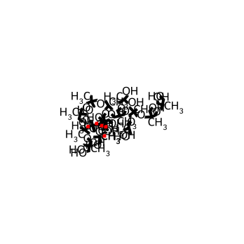 CCC(CO)(COCC(C)(COCC(C)(CO)COC)COCC(C)(COCC(C)(CO)CO)COCC(C)(COCC(C)(CO)CO)COCC(C)(CO)COCC(C)(CO)CO)COCC(C)(COCC(C)(COCC(C)(CO)CO)COCC(C)(CO)CO)COCC(C)(CO)COC(C)(CO)CO